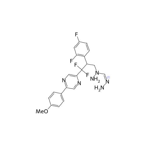 COc1ccc(-c2cnc(C(F)(F)C(CN(N)/C=N\N)c3ccc(F)cc3F)cn2)cc1